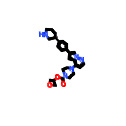 O=C(OC1COC1)N1CCN(c2ccnn3cc(-c4ccc([C@@H]5CCCNC5)cc4)cc23)CC1